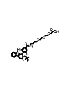 C[C@@H]1Cc2c([nH]c3ccccc23)[C@@H](c2c(F)cc(C(=O)NCCCCOCCOCCOCC(=O)O)cc2F)N1CC(C)(C)F